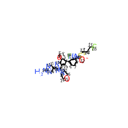 CCOc1cc(-c2cccc(N[S+]([O-])CCCF)c2F)cc2c(N3CCOCC3)nc(-c3cnc(N)nc3)nc12